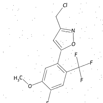 COc1cc(-c2cc(CCl)no2)c(C(F)(F)F)cc1F